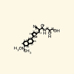 CN(C)c1ccc2cc(-c3ccc(/C=C(\C#N)C(=O)NCC(O)CO)s3)ccc2c1